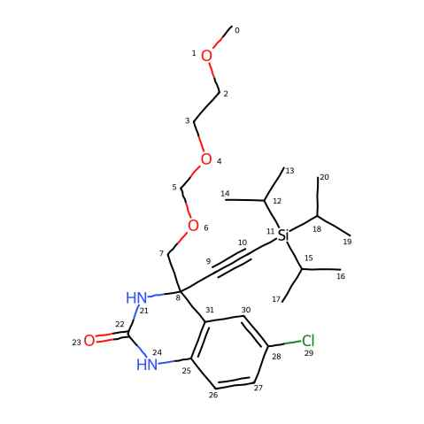 COCCOCOCC1(C#C[Si](C(C)C)(C(C)C)C(C)C)NC(=O)Nc2ccc(Cl)cc21